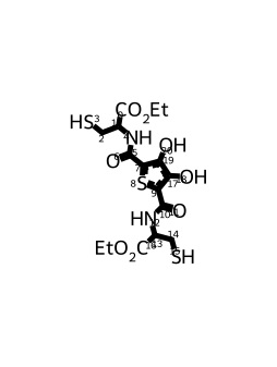 CCOC(=O)C(CS)NC(=O)c1sc(C(=O)NC(CS)C(=O)OCC)c(O)c1O